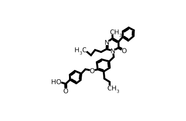 CCCCc1nc(C)c(-c2ccccc2)c(=O)n1Cc1ccc(OCc2ccc(C(=O)O)cc2)c(CCC)c1